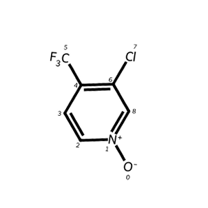 [O-][n+]1ccc(C(F)(F)F)c(Cl)c1